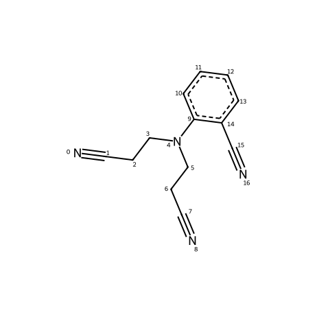 N#CCCN(CCC#N)c1ccccc1C#N